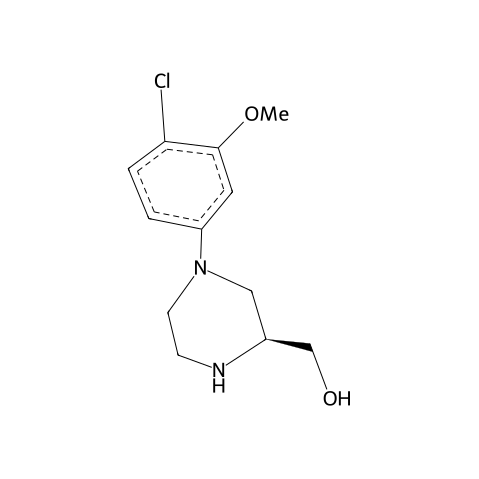 COc1cc(N2CCN[C@H](CO)C2)ccc1Cl